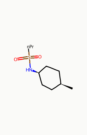 CCCS(=O)(=O)N[C@H]1CC[C@@H](C)CC1